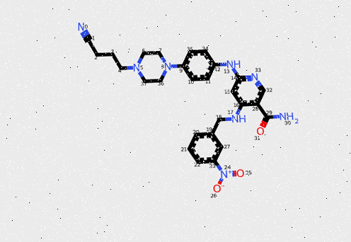 N#CCCCN1CCN(c2ccc(Nc3cc(NCc4cccc([N+](=O)[O-])c4)c(C(N)=O)cn3)cc2)CC1